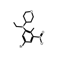 CCN(c1cc(Br)cc([N+](=O)[O-])c1C)C1CCOCC1